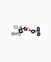 COc1ccc(C(c2ccc(OCc3ccc(-n4c5ccccc5c5ccccc54)cc3)cc2)C(Cl)(Cl)Cl)cc1